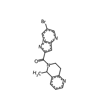 CC1c2cccnc2CCN1C(=O)c1cc2ncc(Br)cn2n1